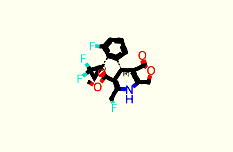 COC(=O)C1=C(CF)NC2=C(C(=O)OC2)[C@H]1c1cccc(F)c1[C@@H]1CC1(F)F